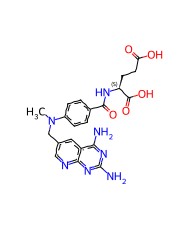 CN(Cc1cnc2nc(N)nc(N)c2c1)c1ccc(C(=O)N[C@@H](CCC(=O)O)C(=O)O)cc1